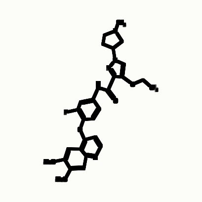 COc1cc2nccc(Oc3ccc(NC(=O)c4nn(C5CCN(C)C5)cc4OCC(F)(F)F)cc3F)c2cc1OC